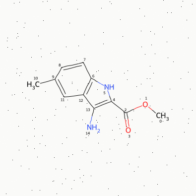 COC(=O)c1[nH]c2ccc(C)cc2c1N